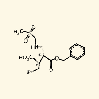 CC(C)C[C@@H](C(=O)O)[C@H](CNCS(C)(=O)=O)C(=O)OCc1ccccc1